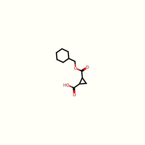 O=C(O)C1CC1C(=O)OCC1CCCCC1